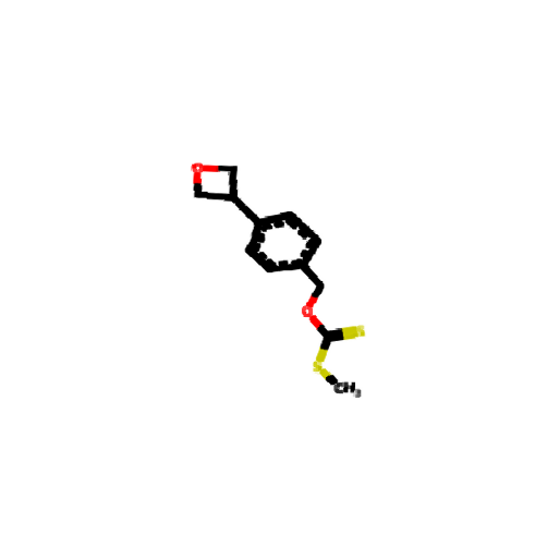 CSC(=S)OCc1ccc(C2COC2)cc1